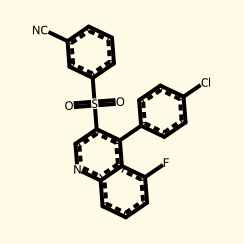 N#Cc1cccc(S(=O)(=O)c2cnc3cccc(F)c3c2-c2ccc(Cl)cc2)c1